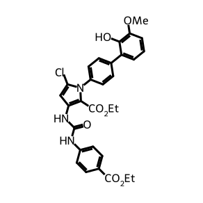 CCOC(=O)c1ccc(NC(=O)Nc2cc(Cl)n(-c3ccc(-c4cccc(OC)c4O)cc3)c2C(=O)OCC)cc1